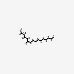 [CH2]CCCCCCCCCC(C)CCCCC